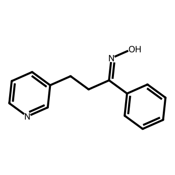 ON=C(CCc1cccnc1)c1ccccc1